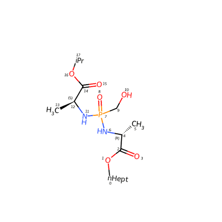 CCCCCCCOC(=O)[C@@H](C)NP(=O)(CO)N[C@@H](C)C(=O)OC(C)C